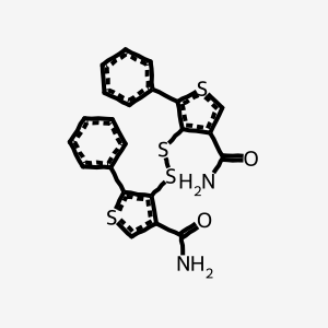 NC(=O)c1csc(-c2ccccc2)c1SSc1c(C(N)=O)csc1-c1ccccc1